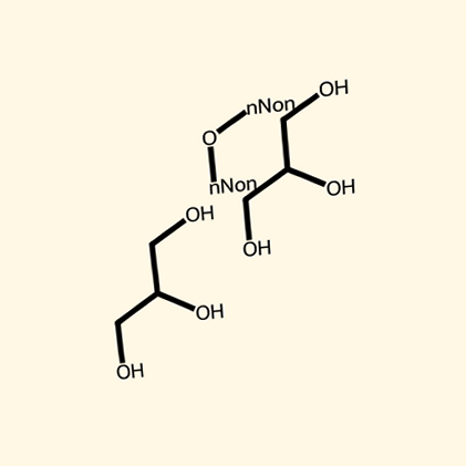 CCCCCCCCCOCCCCCCCCC.OCC(O)CO.OCC(O)CO